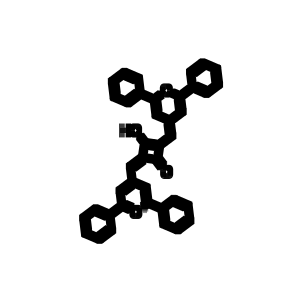 O=C1C(=Cc2cc(-c3ccccc3)[o+]c(-c3ccccc3)c2)C(O)=C1C=C1C=C(c2ccccc2)OC(c2ccccc2)=C1